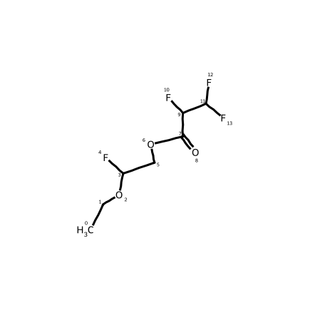 CCOC(F)COC(=O)C(F)C(F)F